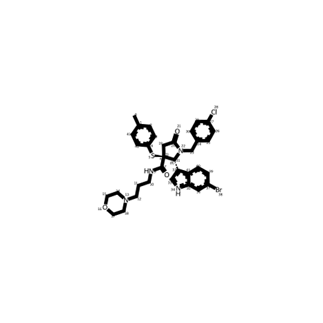 Cc1ccc(S[C@@]2(C(=O)NCCCN3CCOCC3)CC(=O)N(Cc3ccc(Cl)cc3)[C@@H]2c2c[nH]c3cc(Br)ccc23)cc1